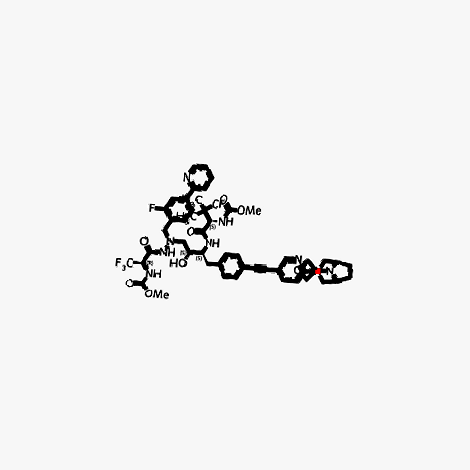 COC(=O)N[C@H](C(=O)NN(Cc1ccc(-c2ccccn2)cc1F)C[C@H](O)[C@H](Cc1ccc(C#Cc2ccc(N3CC4CCC(C3)N4C3COC3)nc2)cc1)NC(=O)[C@@H](NC(=O)OC)C(C)(C)C(F)(F)F)C(F)(F)F